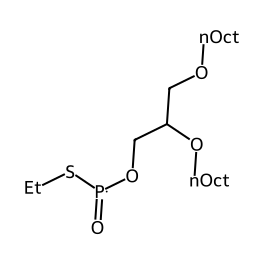 CCCCCCCCOCC(CO[P](=O)SCC)OCCCCCCCC